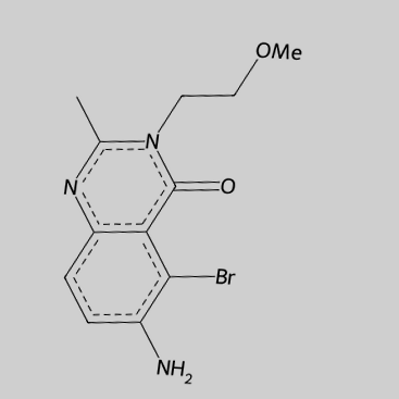 COCCn1c(C)nc2ccc(N)c(Br)c2c1=O